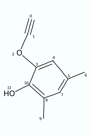 C#COc1cc(C)cc(C)c1O